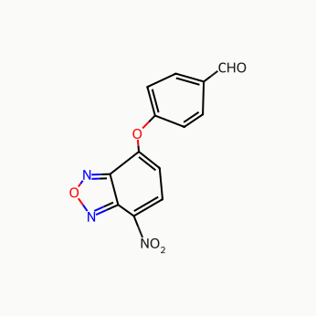 O=Cc1ccc(Oc2ccc([N+](=O)[O-])c3nonc23)cc1